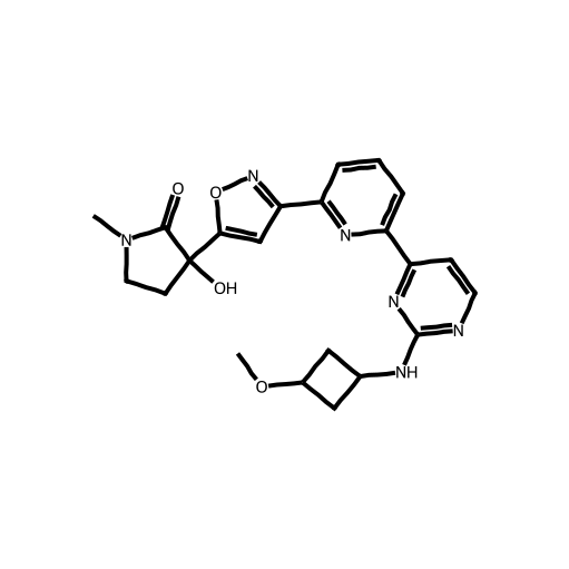 COC1CC(Nc2nccc(-c3cccc(-c4cc(C5(O)CCN(C)C5=O)on4)n3)n2)C1